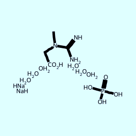 CN(CC(=O)O)C(=N)N.O.O.O.O.O.O.O=P(O)(O)O.[NaH].[NaH]